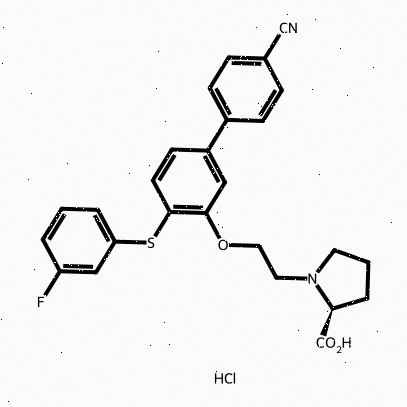 Cl.N#Cc1ccc(-c2ccc(Sc3cccc(F)c3)c(OCCN3CCC[C@H]3C(=O)O)c2)cc1